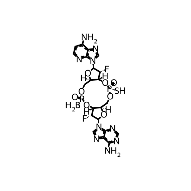 B[P@]1(=O)OC[C@H]2O[C@@H](n3cnc4c(N)ccnc43)[C@H](F)[C@@H]2O[P@](=O)(S)OC[C@H]2O[C@@H](n3cnc4c(N)ncnc43)[C@H](F)[C@@H]2O1